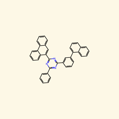 c1ccc(-c2nc(-c3cccc(-c4cccc5ccccc45)c3)nc(-c3cc4ccccc4c4ccccc34)n2)cc1